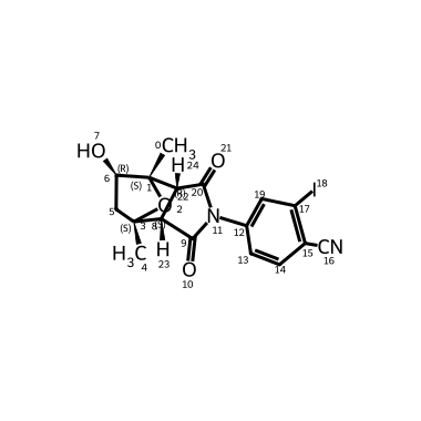 C[C@@]12O[C@@](C)(C[C@H]1O)[C@H]1C(=O)N(c3ccc(C#N)c(I)c3)C(=O)[C@H]12